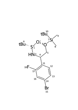 CC(C)(C)[S@+]([O-])NC(CO[Si](C)(C)C(C)(C)C)c1ccc(Br)cc1F